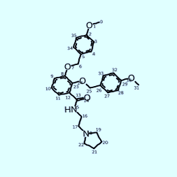 COc1ccc(COc2cccc(C(=O)NCCN3CCCC3)c2OCc2ccc(OC)cc2)cc1